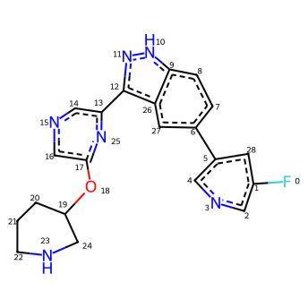 Fc1cncc(-c2ccc3[nH]nc(-c4cncc(OC5CCCNC5)n4)c3c2)c1